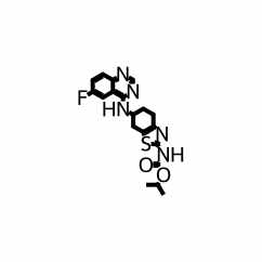 CC(C)OC(=O)Nc1nc2c(s1)CC(Nc1ncnc3ccc(F)cc13)CC2